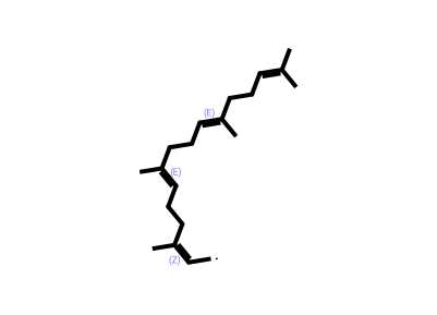 [CH2]/C=C(/C)CC/C=C(\C)CC/C=C(\C)CCC=C(C)C